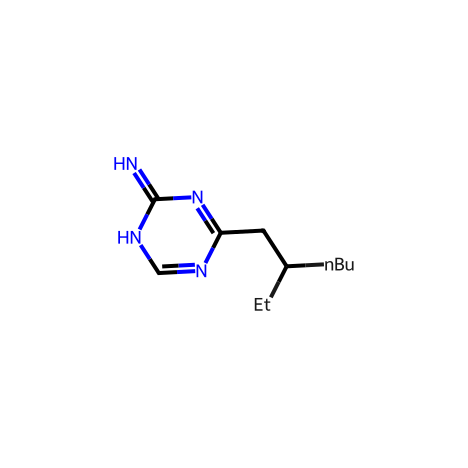 CCCCC(CC)Cc1nc[nH]c(=N)n1